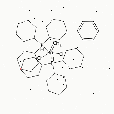 [CH2]=[Ru]([Cl])([Cl])([PH](C1CCCCC1)(C1CCCCC1)C1CCCCC1)[PH](C1CCCCC1)(C1CCCCC1)C1CCCCC1.[c]1ccccc1